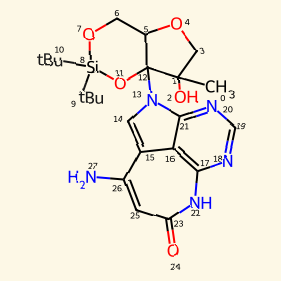 CC1(O)COC2CO[Si](C(C)(C)C)(C(C)(C)C)OC21n1cc2c3c(ncnc31)NC(=O)C=C2N